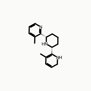 CC1=C([C@H]2CCC[C@@H](c3ncccc3C)N2)NCC=C1